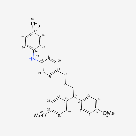 COc1ccc(C(CCCc2ccc(Nc3ccc(C)cc3)cc2)c2ccc(OC)cc2)cc1